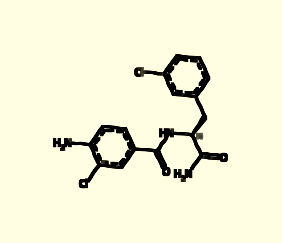 NC(=O)[C@H](Cc1cccc(Cl)c1)NC(=O)c1ccc(N)c(Cl)c1